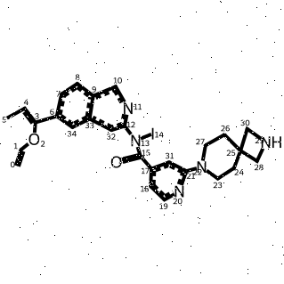 C=CO/C(=C\C)c1ccc2cnc(N(I)C(=O)c3ccnc(N4CCC5(CC4)CNC5)c3)cc2c1